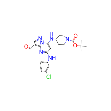 CC(C)(C)OC(=O)N1CCC(Nc2cc(Nc3cccc(Cl)c3)nc3c(C=O)cnn23)CC1